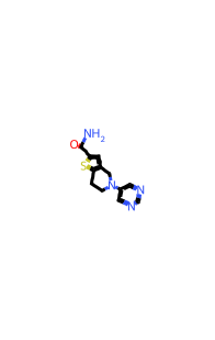 NC(=O)c1cc2c(s1)CCN(c1cncnc1)C2